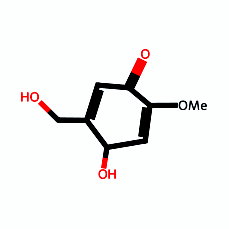 COC1=CC(O)C(CO)=CC1=O